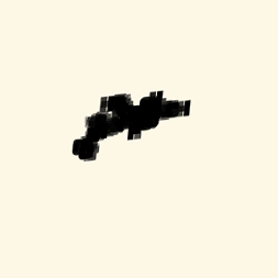 COc1cc(CN2CCN(C3CC4(CCN(c5ccc(C(=O)NS(=O)(=O)c6cc([N+](=O)[O-])c(NCC7CCC(C)(O)CC7)c7c6OCO7)c(Oc6cnc7[nH]ccc7c6)c5)CC4)C3)[C@H](c3ccccc3C(C)C)C2)cc2cc(C)oc12